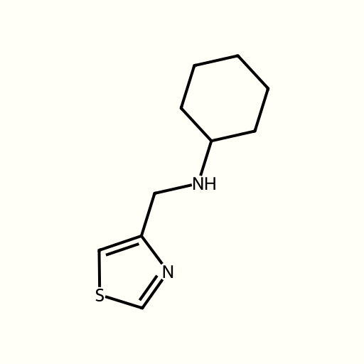 c1nc(CNC2CCCCC2)cs1